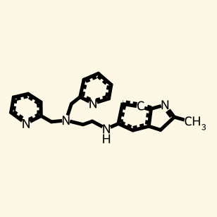 CC1=Nc2ccc(NCCN(Cc3ccccn3)Cc3ccccn3)cc2C1